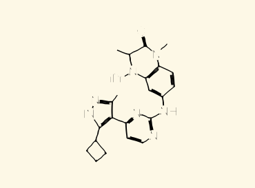 Cc1n[nH]c(C2CCC2)c1-c1ccnc(Nc2ccc3c(c2)N(C(C)C)C(C)C(=O)N3C)n1